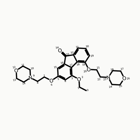 CCOc1cc(OCCN2CCOCC2)cc2c1-c1c(OCCN3CCOCC3)cccc1C2=O